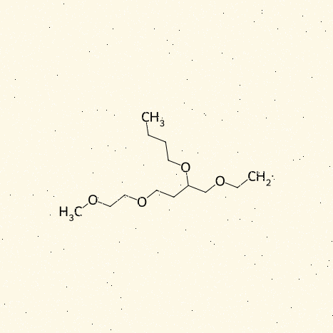 [CH2]COCC(CCOCCOC)OCCCC